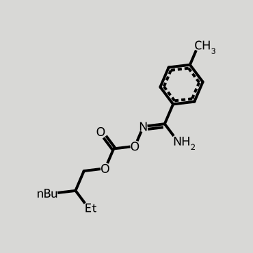 CCCCC(CC)COC(=O)O/N=C(\N)c1ccc(C)cc1